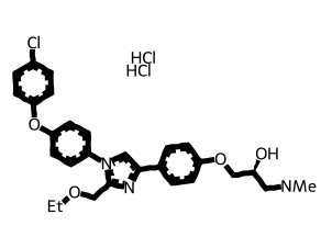 CCOCc1nc(-c2ccc(OC[C@@H](O)CNC)cc2)cn1-c1ccc(Oc2ccc(Cl)cc2)cc1.Cl.Cl